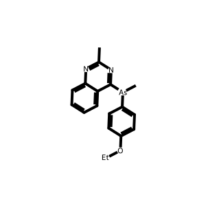 CCOc1ccc([As](C)c2nc(C)nc3ccccc23)cc1